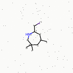 CC1CC(CI)NCC(C)(C)C1